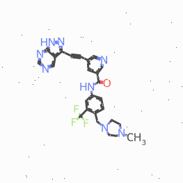 CN1CCN(Cc2ccc(NC(=O)c3cncc(C#Cc4n[nH]c5ncncc45)c3)cc2C(F)(F)F)CC1